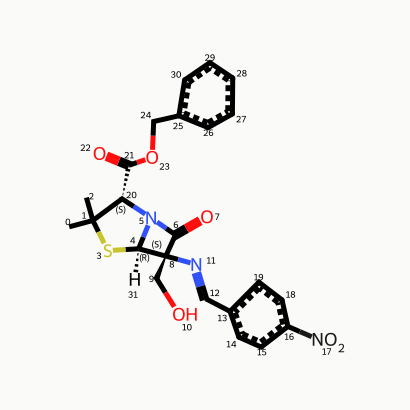 CC1(C)S[C@H]2N(C(=O)[C@]2(CO)N=Cc2ccc([N+](=O)[O-])cc2)[C@H]1C(=O)OCc1ccccc1